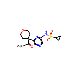 COC(=O)C1(c2cncc(NS(=O)(=O)C3CC3)n2)CCOCC1